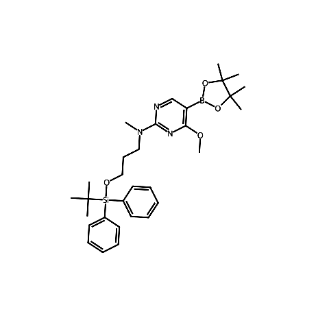 COc1nc(N(C)CCCO[Si](c2ccccc2)(c2ccccc2)C(C)(C)C)ncc1B1OC(C)(C)C(C)(C)O1